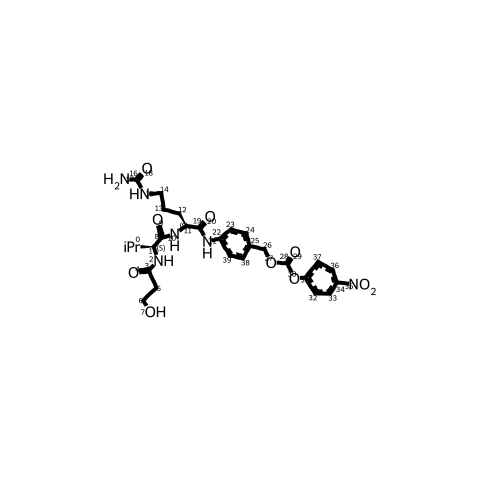 CC(C)[C@H](NC(=O)CCO)C(=O)N[C@@H](CCCNC(N)=O)C(=O)Nc1ccc(COC(=O)Oc2ccc([N+](=O)[O-])cc2)cc1